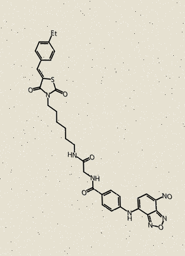 CCc1ccc(/C=C2\SC(=O)N(CCCCCCNC(=O)CNC(=O)c3ccc(Nc4ccc(N=O)c5nonc45)cc3)C2=O)cc1